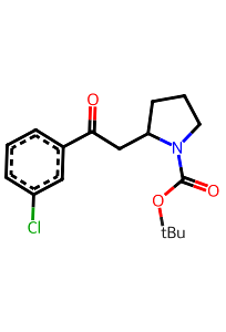 CC(C)(C)OC(=O)N1CCCC1CC(=O)c1cccc(Cl)c1